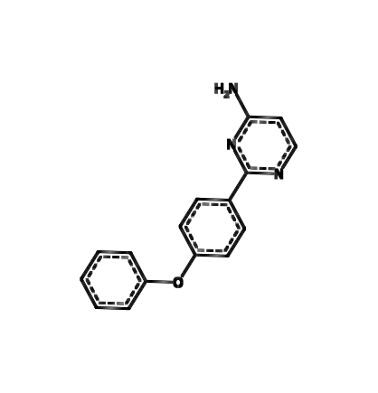 Nc1ccnc(-c2ccc(Oc3ccccc3)cc2)n1